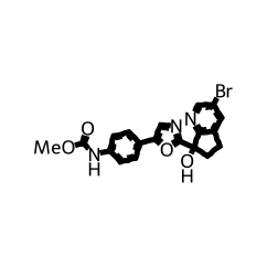 COC(=O)Nc1ccc(-c2cnc(C3(O)CCc4cc(Br)cnc43)o2)cc1